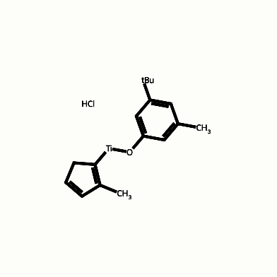 CC1=[C]([Ti][O]c2cc(C)cc(C(C)(C)C)c2)CC=C1.Cl